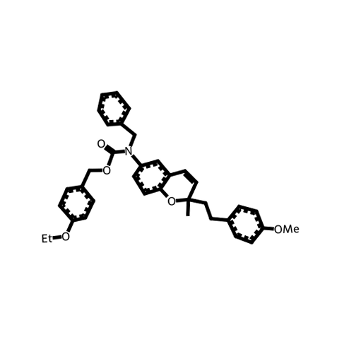 CCOc1ccc(COC(=O)N(Cc2ccccc2)c2ccc3c(c2)C=CC(C)(CCc2ccc(OC)cc2)O3)cc1